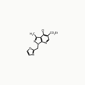 CCOC(=O)c1cnc2c(c(C)nn2Cc2ncco2)c1Cl